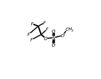 COS(=O)(=O)OC(F)(F)C(F)(F)F